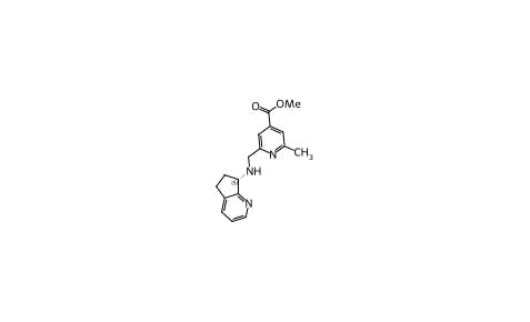 COC(=O)c1cc(C)nc(CN[C@H]2CCc3cccnc32)c1